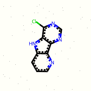 Clc1ncnc2c1[nH]c1cccnc12